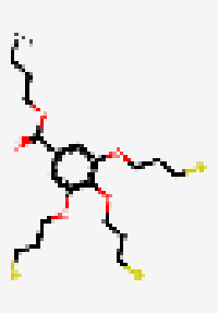 CCCCOC(=O)c1cc(OCCCS)c(OCCCS)c(OCCCS)c1